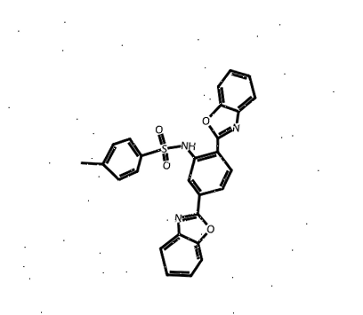 Cc1ccc(S(=O)(=O)Nc2cc(-c3nc4ccccc4o3)ccc2-c2nc3ccccc3o2)cc1